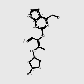 CCOc1nc(N/C(C=N)=C(\C)NC2CCC(O)C2)nc2[nH]ccc12